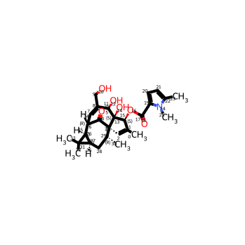 CC1=C[C@]23C(=O)[C@@H](C=C(CO)[C@@H](O)[C@]2(O)[C@H]1OC(=O)c1ccc(C)n1C)[C@H]1[C@@H](C[C@H]3C)C1(C)C